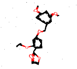 CCOc1cc(OCc2cc(OC)cc(OC)c2)ccc1C1OC=CO1